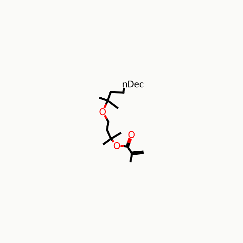 C=C(C)C(=O)OC(C)(C)CCOC(C)(C)CCCCCCCCCCCC